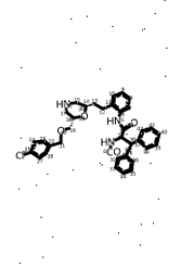 O=C(O)NC(C(=O)Nc1ccccc1CC[C@@H]1CNC[C@@H](COCc2ccc(Cl)cc2)O1)C(c1ccccc1)c1ccccc1